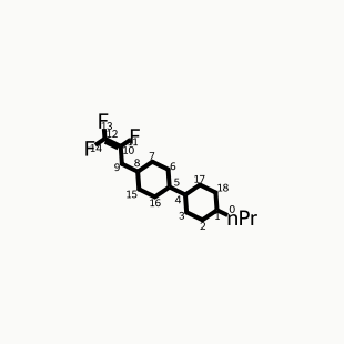 CCCC1CCC(C2CCC(CC(F)=C(F)F)CC2)CC1